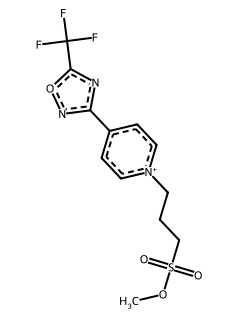 COS(=O)(=O)CCC[n+]1ccc(-c2noc(C(F)(F)F)n2)cc1